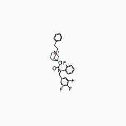 O=C(OC1C[N+]2(CCc3ccccc3)CCC1CC2)N(Cc1cc(F)c(F)c(F)c1)c1ccccc1F